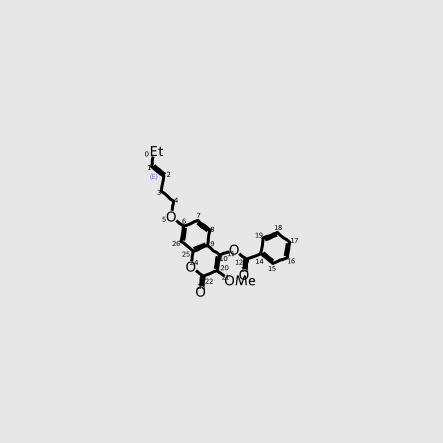 CC/C=C/CCOc1ccc2c(OC(=O)c3ccccc3)c(OC)c(=O)oc2c1